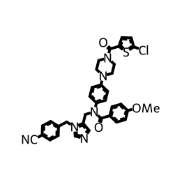 COc1ccc(C(=O)N(Cc2cncn2Cc2ccc(C#N)cc2)c2ccc(N3CCN(C(=O)c4ccc(Cl)s4)CC3)cc2)cc1